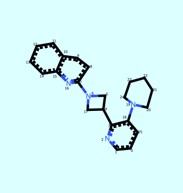 c1cnc(C2CN(c3ccc4ccccc4n3)C2)c(N2CCCCC2)c1